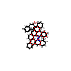 c1ccc(-c2ccccc2-c2cccc(N(c3ccccc3-c3ccccc3)c3ccccc3-c3ccccc3N(c3ccc(-c4cccc5oc6cc7ccccc7cc6c45)cc3)c3ccccc3-c3ccccc3)c2)cc1